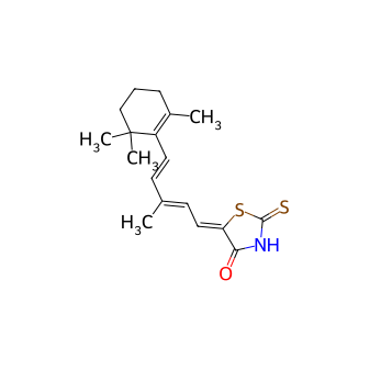 CC(C=CC1=C(C)CCCC1(C)C)=CC=C1SC(=S)NC1=O